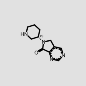 O=C1c2ncncc2CN1[C@H]1CCCNC1